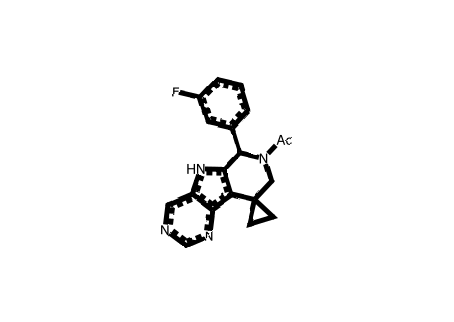 CC(=O)N1CC2(CC2)c2c([nH]c3cncnc23)C1c1cccc(F)c1